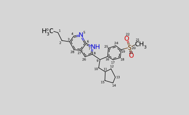 CCCc1cnc2[nH]c(C(CC3CCCC3)c3ccc(S(C)(=O)=O)cc3)cc2c1